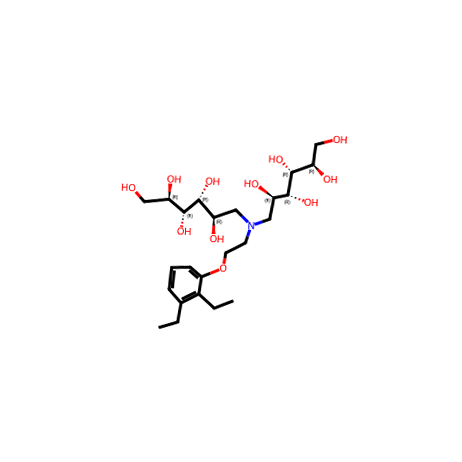 CCc1cccc(OCCN(C[C@@H](O)[C@@H](O)[C@H](O)[C@H](O)CO)C[C@@H](O)[C@@H](O)[C@H](O)[C@H](O)CO)c1CC